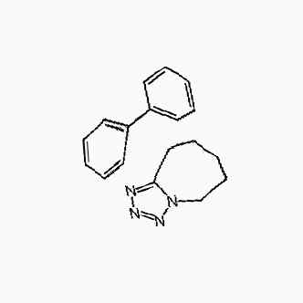 C1CCc2nnnn2CC1.c1ccc(-c2ccccc2)cc1